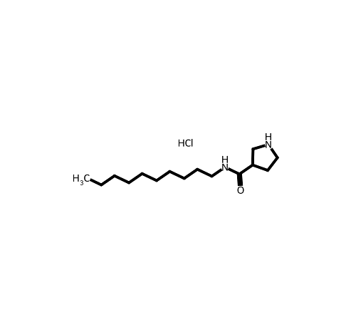 CCCCCCCCCCNC(=O)C1CCNC1.Cl